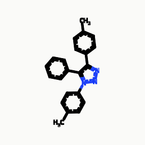 Cc1ccc(-c2nnn(-c3ccc(C)cc3)c2-c2ccccc2)cc1